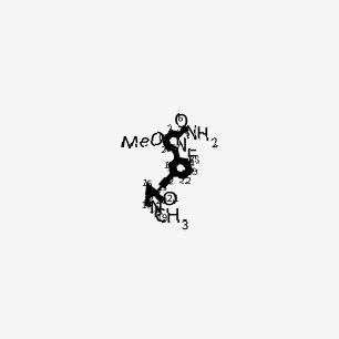 COc1cc(C(N)=O)nc(-c2cc(C#C[C@]34CC3CN(C)C4=O)ccc2F)c1